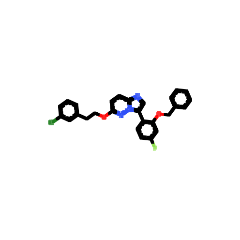 Fc1ccc(-c2cnc3ccc(OCCc4cccc(Cl)c4)nn23)c(OCc2ccccc2)c1